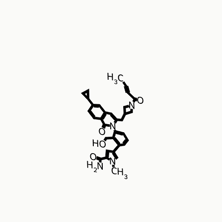 CC#CC(=O)N1CC(Cc2cc3cc(C4CC4)ccc3c(=O)n2-c2cccc(-c3cc(C(N)=O)n(C)c3)c2CO)C1